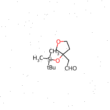 CC(C)(C)[Si](C)(C)OC1(CC=O)CCOC1